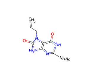 C=CCn1c(=O)[nH]c2nc(NC(C)=O)[nH]c(=O)c21